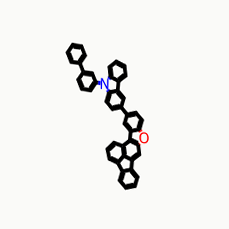 c1ccc(-c2cccc(-n3c4ccccc4c4cc(-c5ccc6oc7cc8c9c(cccc9c7c6c5)-c5ccccc5-8)ccc43)c2)cc1